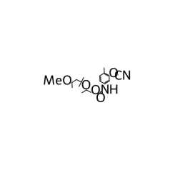 COC(C)CC(C)(C)OC(C)COC(=O)Nc1ccc(C)c(OC#N)c1